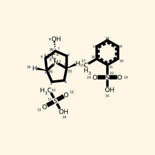 CN1[C@@H]2CC[C@H]1C[C@@H](O)C2.CS(=O)(=O)O.Cc1ccccc1S(=O)(=O)O